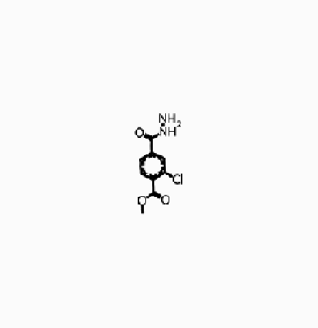 COC(=O)c1ccc(C(=O)NN)cc1Cl